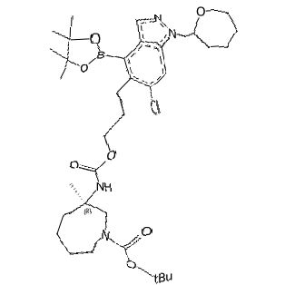 CC(C)(C)OC(=O)N1CCCC[C@@](C)(NC(=O)OCCCc2c(Cl)cc3c(cnn3C3CCCCO3)c2B2OC(C)(C)C(C)(C)O2)C1